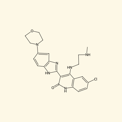 CNCCNc1c(-c2nc3cc(N4CCOCC4)ccc3[nH]2)c(=O)[nH]c2ccc(Cl)cc12